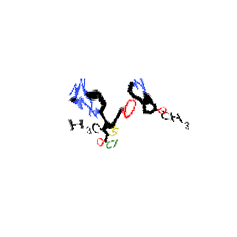 COc1ccc2c(OCc3sc(C(=O)Cl)c(C)c3-c3ccc4nncn4n3)ccnc2c1